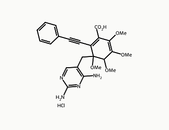 COC1=C(OC)C(OC)C(Cc2cnc(N)nc2N)(OC)C(C#Cc2ccccc2)=C1C(=O)O.Cl